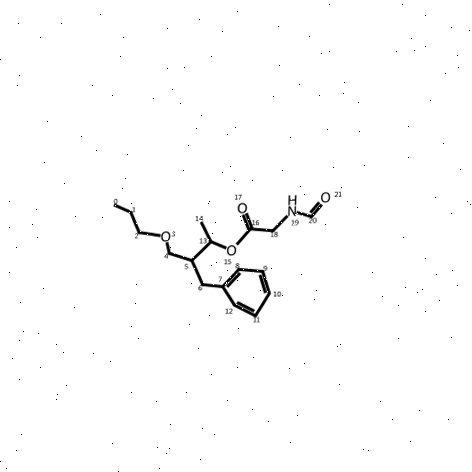 CCCOCC(Cc1ccccc1)C(C)OC(=O)CNC=O